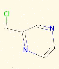 Cl[CH]c1cnccn1